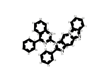 c1ccc(-c2nc(-n3c(-c4ccccc4)nc4cc5nc6ccccc6n5cc43)nc3ccccc23)cc1